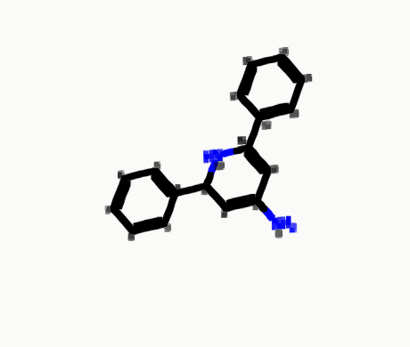 NC1=CC(c2ccccc2)NC(c2ccccc2)=C1